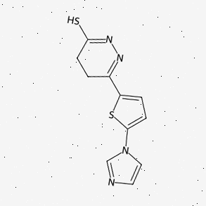 SC1=NN=C(c2ccc(-n3ccnc3)s2)CC1